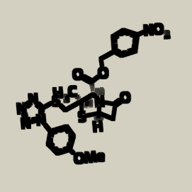 COc1ccc(-n2nnnc2SC[C@]2(C)S[C@@H]3CC(=O)N3[C@H]2C(=O)OCc2ccc([N+](=O)[O-])cc2)cc1